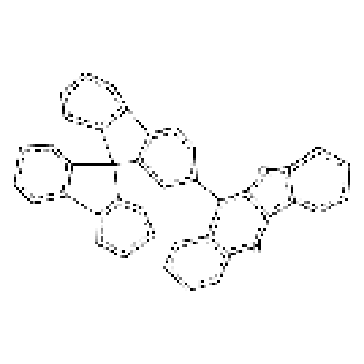 c1ccc2c(c1)-c1ccccc1C21c2ccccc2-c2ccc(-c3c4ccccc4nc4c3oc3ccccc34)cc21